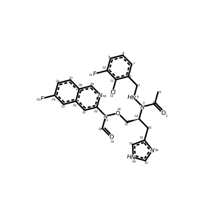 CC(=O)N(NCc1cccc(F)c1Cl)[C@H](CON(C=O)c1cc2cc(F)ccc2cn1)Cc1c[nH]cn1